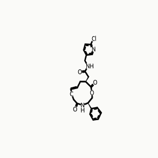 O=C(C[C@@H]1C/C=C/CCC(=O)N[C@H](c2ccccc2)COC1=O)NCc1ccc(Cl)nc1